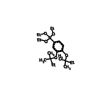 CCO[Si](OCC)(OCC)c1ccc(OC(C)(C)CC)c(OC(C)(C)CC)c1